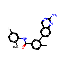 COc1ccc(C(F)(F)F)cc1NC(=O)c1ccc(C)c(-c2ccc3nc(N)ncc3c2)c1